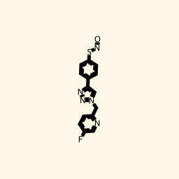 O=NSc1ccc(-c2cn(Cc3ccc(F)cn3)nn2)cc1